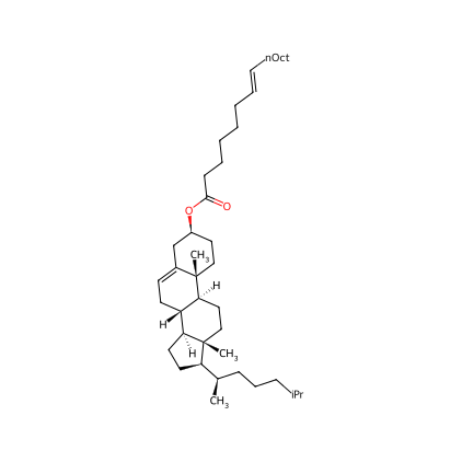 CCCCCCCC/C=C/CCCCCC(=O)O[C@H]1CC[C@@]2(C)C(=CC[C@H]3[C@@H]4CC[C@H]([C@H](C)CCCC(C)C)[C@@]4(C)CC[C@@H]32)C1